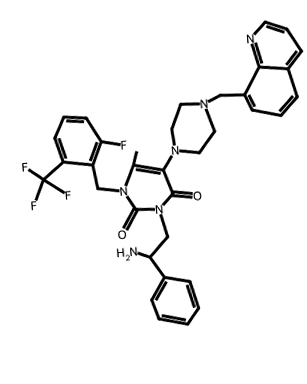 Cc1c(N2CCN(Cc3cccc4cccnc34)CC2)c(=O)n(CC(N)c2ccccc2)c(=O)n1Cc1c(F)cccc1C(F)(F)F